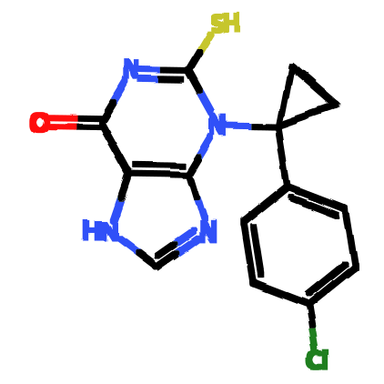 O=c1nc(S)n(C2(c3ccc(Cl)cc3)CC2)c2nc[nH]c12